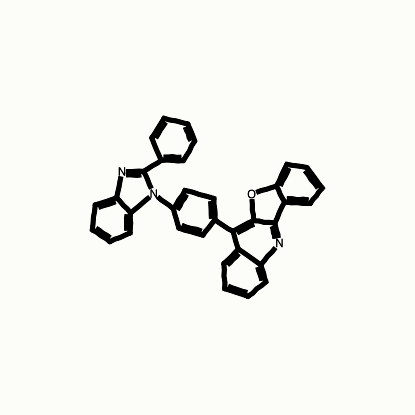 c1ccc(-c2nc3ccccc3n2-c2ccc(-c3c4ccccc4nc4c3oc3ccccc34)cc2)cc1